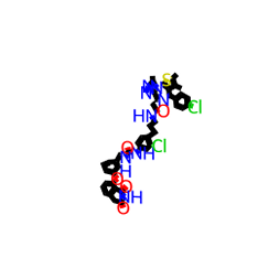 Cc1sc2c(c1C)C(c1ccc(Cl)cc1)=N[C@@H](CC(=O)NCCCc1ccc(NC(=O)NCc3cccc(Oc4cccc5c4C(=O)NC(=O)C5)c3)cc1Cl)c1nnc(C)n1-2